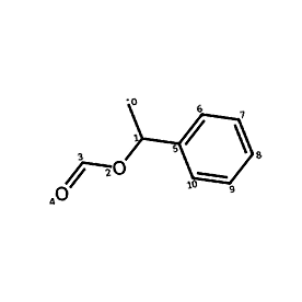 [CH2]C(OC=O)c1ccccc1